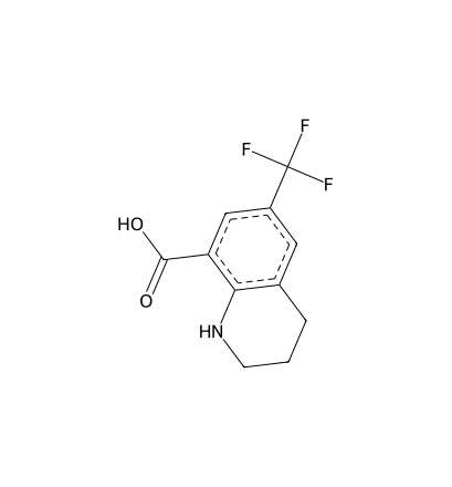 O=C(O)c1cc(C(F)(F)F)cc2c1NCCC2